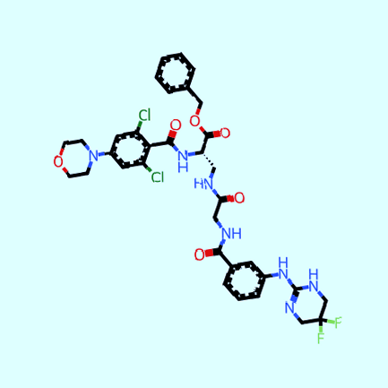 O=C(CNC(=O)c1cccc(NC2=NCC(F)(F)CN2)c1)NC[C@H](NC(=O)c1c(Cl)cc(N2CCOCC2)cc1Cl)C(=O)OCc1ccccc1